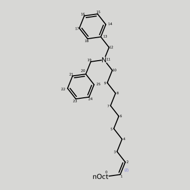 CCCCCCCC/C=C\CCCCCCCCN(Cc1ccccc1)Cc1ccccc1